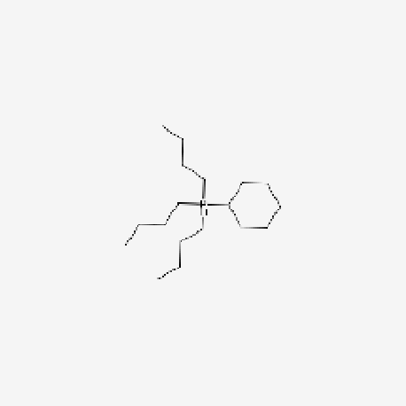 CCCC[PH](CCCC)(CCCC)C1CCCCC1